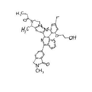 C=CC(=O)N1CCn2nc(-c3nc(-c4ccc5c(c4)C(=O)N(C)C5)c4ccsc4c3-c3c(F)cc(F)cc3OCCO)cc2C1C